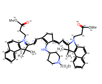 CCOC(=O)N1CCC(NC2=C(/C=C/C3=[N+](CCC(=O)OC)c4ccc5ccccc5c4C3(C)C)CC/C2=C\C=C2\N(CCC(=O)OC)c3ccc4ccccc4c3C2(C)C)CC1